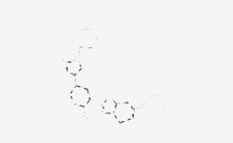 Nc1ncc(-c2cnn(C3CCNCC3)c2)cc1-c1nc2ccc(N3CCOCC3)cc2o1